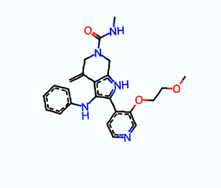 C=C1CN(C(=O)NC)Cc2[nH]c(-c3ccncc3OCCOC)c(Nc3ccccc3)c21